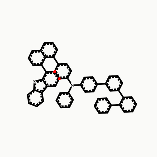 c1ccc(-c2ccccc2-c2cccc(-c3ccc(N(c4ccccc4)c4ccc(-c5cccc6cccc(-c7cccc8c7sc7ccccc78)c56)cc4)cc3)c2)cc1